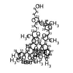 C=C1C[C@H](CCCO)OC1CC[C@H]1C[C@@H](C)C(=C)C(C[C@@H]2OC(C[C@H]3CCC(C)(C)O3)[C@H](C)[C@H]2C(Cc2ccc(C)cc2)C(=O)C[C@H]2CC[C@@H]3O[C@@H]([C@H](/C=C/I)O[Si](C)(C)C(C)(C)C)[C@@H](O[Si](C)(C)C(C)(C)C)[C@@H](O[Si](C)(C)C(C)(C)C)[C@H]3O2)O1